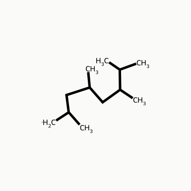 [CH2]C(C)CC(C)CC(C)C(C)C